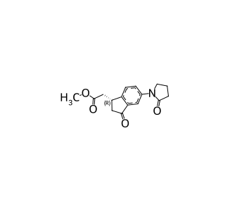 COC(=O)C[C@H]1CC(=O)c2cc(N3CCCC3=O)ccc21